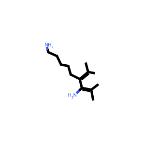 CC(C)=C(N)C(CCCCCN)=C(C)C